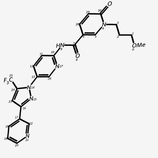 COCCCn1cc(C(=O)Nc2ccc(-n3nc(-c4cccnc4)cc3C(F)(F)F)cn2)ccc1=O